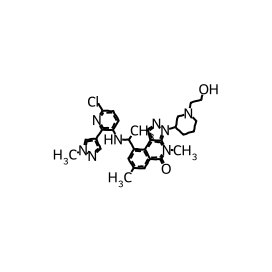 Cc1cc(C(C)Nc2ccc(Cl)nc2-c2cnn(C)c2)c2c(c1)c(=O)n(C)c1c2cnn1C1CCCN(CCO)C1